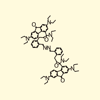 CCN(CC)c1ccc2c(c1)C(=O)c1cc(N(CC)CC)cc(C3(N(CC)CC)OC3Cc3ccccc3C=NN=Cc3ccccc3CC3OC3(c3cc(N(CC)CC)cc4c3-c3ccc(N(CC)CC)cc3C4=O)N(CC)CC)c1-2